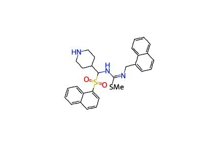 CSC(=NCc1cccc2ccccc12)NC(C1CCNCC1)S(=O)(=O)c1cccc2ccccc12